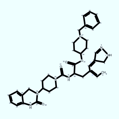 C/C=C(\C=C1\C=NNC1)CC(NC(=O)N1CCC(N2Cc3ccccc3NC2=O)CC1)C(=O)OC1CCN(Cc2ccccc2)CC1